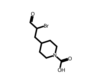 O=CC(Br)CC1CCN(C(=O)O)CC1